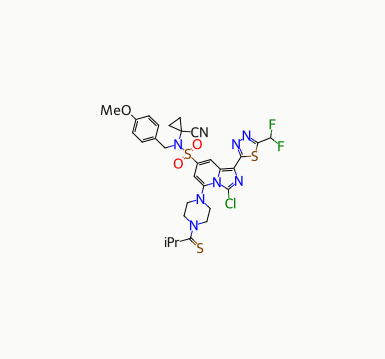 COc1ccc(CN(C2(C#N)CC2)S(=O)(=O)c2cc(N3CCN(C(=S)C(C)C)CC3)n3c(Cl)nc(-c4nnc(C(F)F)s4)c3c2)cc1